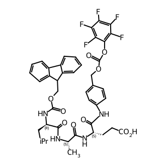 CC(C)C[C@@H](NC(=O)OCC1c2ccccc2-c2ccccc21)C(=O)N[C@@H](C)C(=O)N[C@@H](CCC(=O)O)C(=O)Nc1ccc(COC(=O)Oc2c(F)c(F)c(F)c(F)c2F)cc1